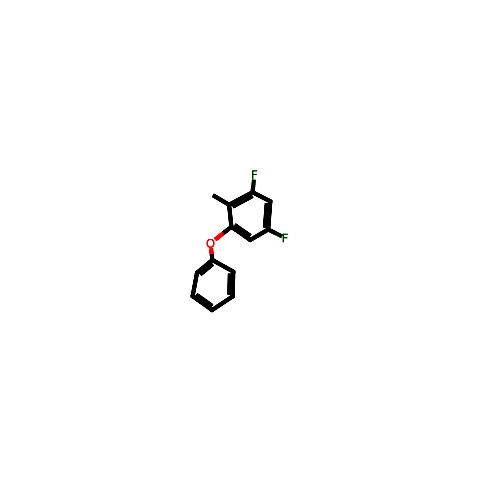 Cc1c(F)cc(F)cc1Oc1ccccc1